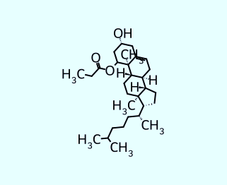 CCC(=O)OC1C[C@H](O)CC2=CC[C@H]3[C@@H]4CC[C@H]([C@H](C)CCCC(C)C)[C@@]4(C)CC[C@@H]3[C@]21C